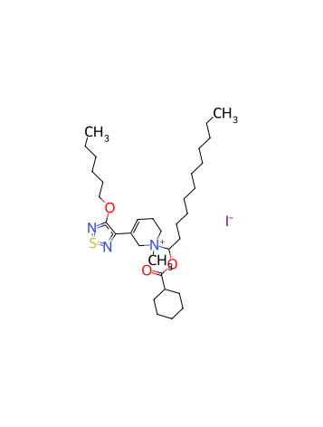 CCCCCCCCCCCC(OC(=O)C1CCCCC1)[N+]1(C)CCC=C(c2nsnc2OCCCCCC)C1.[I-]